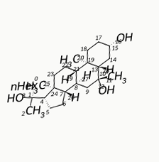 CCCCCC[C@](C)(O)[C@H]1CC[C@H]2[C@@H]3C[C@@](C)(O)[C@H]4C[C@@H](O)CC[C@]4(C)[C@H]3CC[C@@]21C